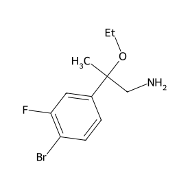 CCOC(C)(CN)c1ccc(Br)c(F)c1